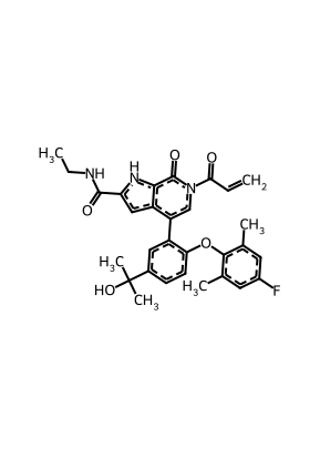 C=CC(=O)n1cc(-c2cc(C(C)(C)O)ccc2Oc2c(C)cc(F)cc2C)c2cc(C(=O)NCC)[nH]c2c1=O